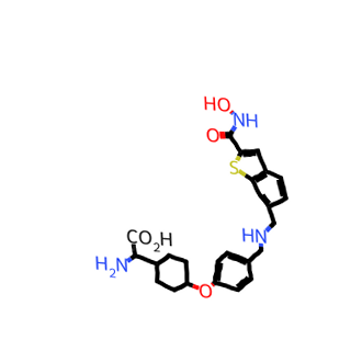 NC(C(=O)O)C1CCC(Oc2ccc(CNCc3ccc4cc(C(=O)NO)sc4c3)cc2)CC1